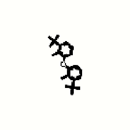 Cc1c(Oc2cccc(C(C)(C)C)c2C)cccc1C(C)(C)C